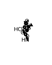 CNCCO[C@H]1CC[C@H](C(=O)N(C[C@H]2CC[C@H](c3ccc(OC)c(C)c3)CC2)c2cccc(-c3cnc(C4CC4)s3)c2)CC1.Cl